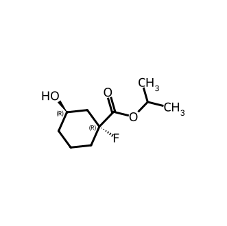 CC(C)OC(=O)[C@@]1(F)CCC[C@@H](O)C1